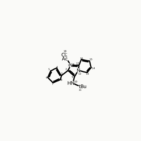 CC(=O)[n+]1c(-c2ccccc2)c(NC(C)(C)C)n2ccccc21.[Cl-]